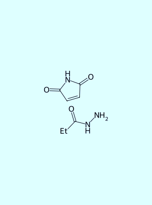 CCC(=O)NN.O=C1C=CC(=O)N1